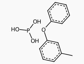 Cc1cccc(Oc2ccccc2)c1.OP(O)O